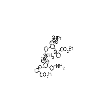 CCOC(=O)Cc1ccccc1OCc1cc(-c2cccc(C(N)CC(C)S(=O)(=O)n3ccc4c(-c5cccc(CN)c5)cc(COc5ccccc5CC(=O)O)cc43)c2)c2ccn(S(=O)(=O)C(C)C)c2c1